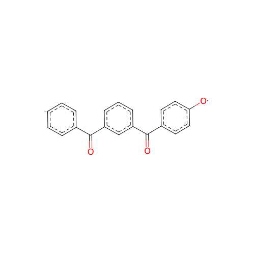 [O]c1ccc(C(=O)c2cccc(C(=O)c3cc[c]cc3)c2)cc1